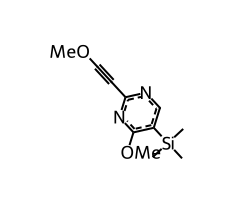 COC#Cc1ncc([Si](C)(C)C)c(OC)n1